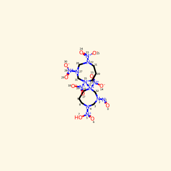 O=NN1CN([N+](=O)O)CCC[N+]([N+](=O)[O-])([N+]2([N+](=O)[O-])CCCN([N+](=O)[O-])CN([N+](=O)[O-])C2)C1